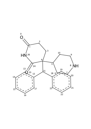 O=C1CCC(C2CCNCC2)(C(c2ccccc2)c2ccccc2)C(=O)N1